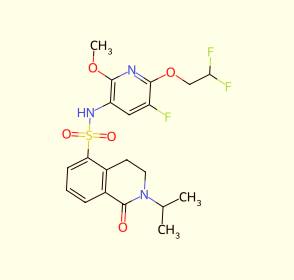 COc1nc(OCC(F)F)c(F)cc1NS(=O)(=O)c1cccc2c1CCN(C(C)C)C2=O